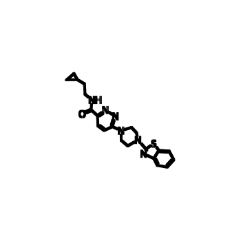 O=C(NCCC1CC1)c1ccc(N2CCN(c3nc4ccccc4s3)CC2)nn1